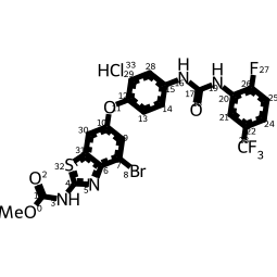 COC(=O)Nc1nc2c(Br)cc(Oc3ccc(NC(=O)Nc4cc(C(F)(F)F)ccc4F)cc3)cc2s1.Cl